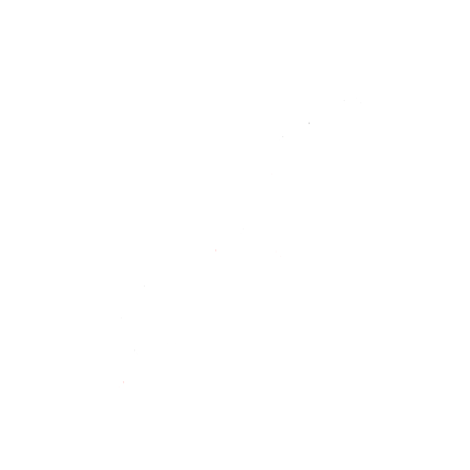 CC(OC(=O)COC(=O)C(F)(F)S(=O)(=O)O)C1OC(=O)C2CCCC21